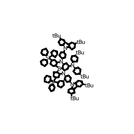 CC(C)(C)c1ccc(N(c2ccc(C(C)(C)C)cc2)c2cc3c4c(c2)N(c2ccc(-n5c6ccc(C(C)(C)C)cc6c6cc(C(C)(C)C)ccc65)cc2)c2cc([Si](c5ccccc5)(c5ccccc5)c5ccccc5)ccc2B4c2ccc([Si](c4ccccc4)(c4ccccc4)c4ccccc4)cc2N3c2ccc(-n3c4ccc(C(C)(C)C)cc4c4cc(C(C)(C)C)ccc43)cc2)cc1